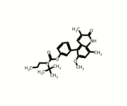 CCCN(C(=O)Oc1cccc(-c2c(OC)cc(C)c3[nH]c(=O)c(C)cc23)c1)C(C)(C)C